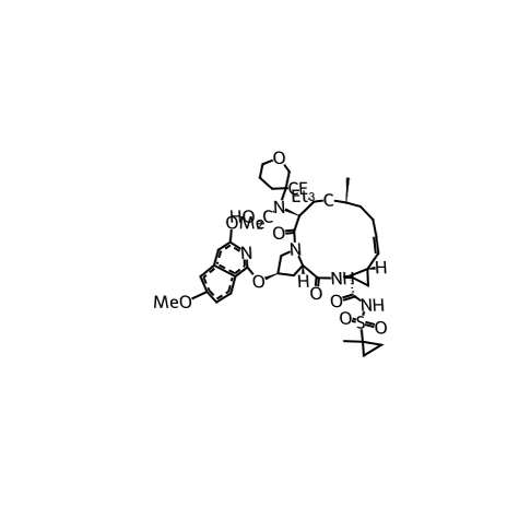 CC[C@@H]1C[C@@H](C)CCC=C[C@@H]2C[C@@]2(C(=O)NS(=O)(=O)C2(C)CC2)NC(=O)[C@@H]2C[C@@H](Oc3nc(OC)cc4cc(OC)ccc34)CN2C(=O)[C@H]1N(C(=O)O)C1(C(F)(F)F)CCCOC1